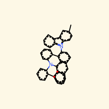 Cc1ccc2c(c1)c1ccccc1n2-c1ccccc1-c1ccccc1N(c1ccccc1-c1ccccc1)c1cccc2ccccc12